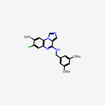 COc1cc(CNc2nc3cc(F)c(C=O)cc3n3cncc23)cc(OC)c1